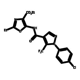 CCOC(=O)c1nc(CC)oc1NC(=O)c1cnn(-c2ccc(Cl)cc2)c1C(F)(F)F